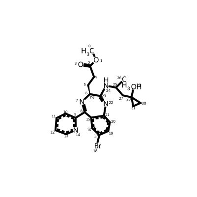 COC(=O)CC[C@@H]1N=C(c2ccccn2)c2cc(Br)ccc2N=C1NC(C)CC1(O)CC1